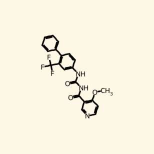 COc1ccncc1C(=O)NC(=O)Nc1ccc(-c2ccccc2)c(C(F)(F)F)c1